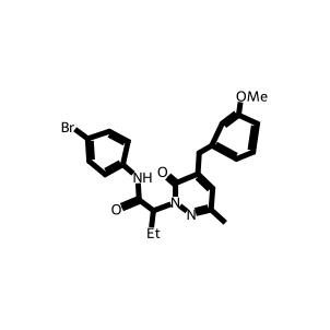 CCC(C(=O)Nc1ccc(Br)cc1)n1nc(C)cc(Cc2cccc(OC)c2)c1=O